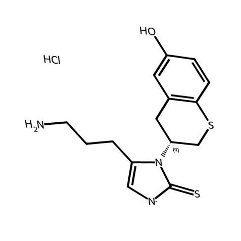 Cl.NCCCC1=C[N]C(=S)N1[C@H]1CSc2ccc(O)cc2C1